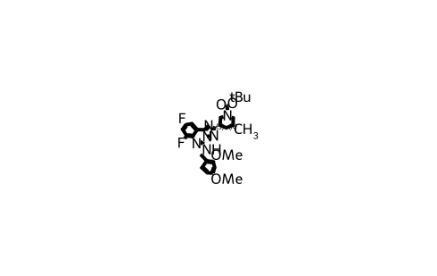 COc1ccc(CNc2nc3c(F)cc(F)cc3c3nc([C@H]4C[C@@H](C)CN(C(=O)OC(C)(C)C)C4)nn23)c(OC)c1